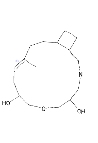 C/C1=C\CC(O)COCC(O)CN(C)CC2CCC2CC1